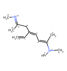 C=C/C(=C\C=C(/C)N(C)CCC)C/C(C)=N/C